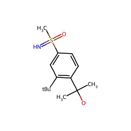 CC(C)(C)c1cc(S(C)(=N)=O)ccc1C(C)(C)[O]